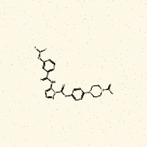 CC(=O)N1CCN(c2ccc(NC(=O)n3nccc3NC(=O)c3cccc(OC(F)F)c3)cc2)CC1